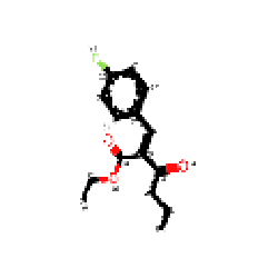 CCCC(=O)C(=Cc1ccc(F)cc1)C(=O)OCC